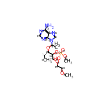 CC[C@H](OC(C)n1cnc2c(N)ncnc21)C(COCCOC)OP(=O)(O)OC